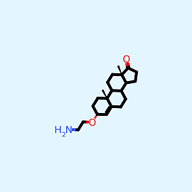 C[C@]12CC[C@H](OCCN)C=C1CCC1C2CC[C@]2(C)C(=O)CCC12